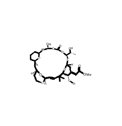 CCO[C@H]1/C(=C/C(=O)OC)C[C@H]2C[C@H]([C@@H](C)O)OC(=O)C[C@H](O)C[C@@H]3CCC[C@H](C[C@@H]4CCO[C@H](/C=C/C(C)(C)[C@]1(O)O2)O4)O3